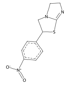 O=[N+]([O-])c1ccc(C2CN3CCN=C3S2)cc1